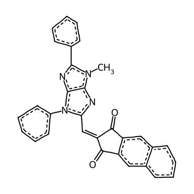 Cn1c(-c2ccccc2)nc2c1nc(C=C1C(=O)c3cc4ccccc4cc3C1=O)n2-c1ccccc1